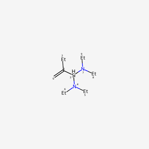 C=C(CC)[SiH](N(CC)CC)N(CC)CC